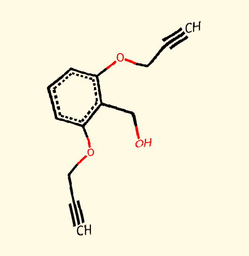 C#CCOc1cccc(OCC#C)c1CO